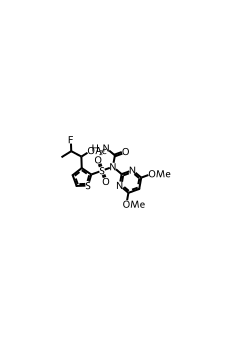 COc1cc(OC)nc(N(C(N)=O)S(=O)(=O)c2sccc2C(OC(C)=O)C(C)F)n1